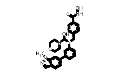 Cn1ncc2ccc(-c3cccc(N(Cc4ccc(C(=O)NO)cc4)C(O)N4CCOCC4)c3)cc21